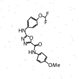 COc1ccc(NC(=O)c2nnc(Nc3ccc(OC(F)F)cc3)o2)cc1